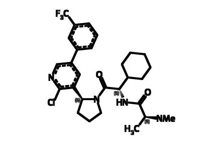 CN[C@@H](C)C(=O)N[C@H](C(=O)N1CCC[C@H]1c1cc(-c2cccc(C(F)(F)F)c2)cnc1Cl)C1CCCCC1